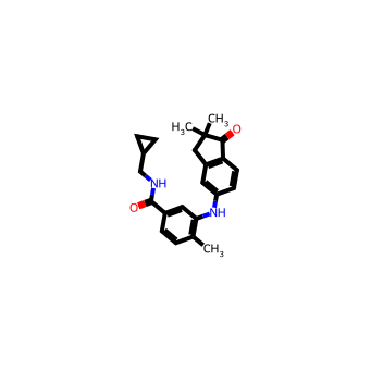 Cc1ccc(C(=O)NCC2CC2)cc1Nc1ccc2c(c1)CC(C)(C)C2=O